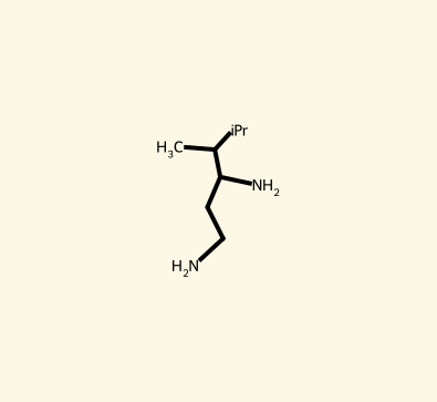 CC(C)C(C)C(N)CCN